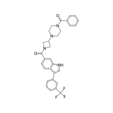 O=C(c1ccccc1)N1CCN(C2CN(C(=O)c3ccc4c(-c5cccc(C(F)(F)F)c5)c[nH]c4c3)C2)CC1